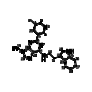 Cc1cncc(-c2nc(NCCc3c[nH]c4ccccc34)c3ncn(C(C)C)c3n2)c1